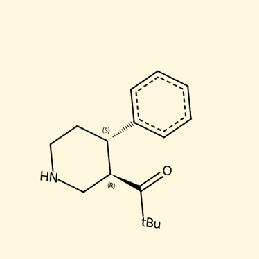 CC(C)(C)C(=O)[C@H]1CNCC[C@@H]1c1ccccc1